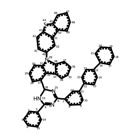 c1ccc(C2=NC(c3cccc(-c4ccc(-c5ccccc5)cc4)c3)=NC(c3cccc4c3c3ccccc3n4-c3ccc4sc5ccccc5c4c3)N2)cc1